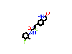 Cc1c(F)cccc1NC(=O)/C(F)=C/c1ccc2c(c1)NC(=O)C2